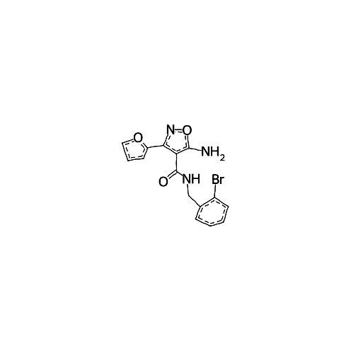 Nc1onc(-c2ccco2)c1C(=O)NCc1ccccc1Br